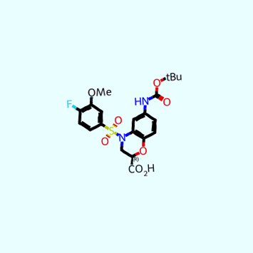 COc1cc(S(=O)(=O)N2C[C@H](C(=O)O)Oc3ccc(NC(=O)OC(C)(C)C)cc32)ccc1F